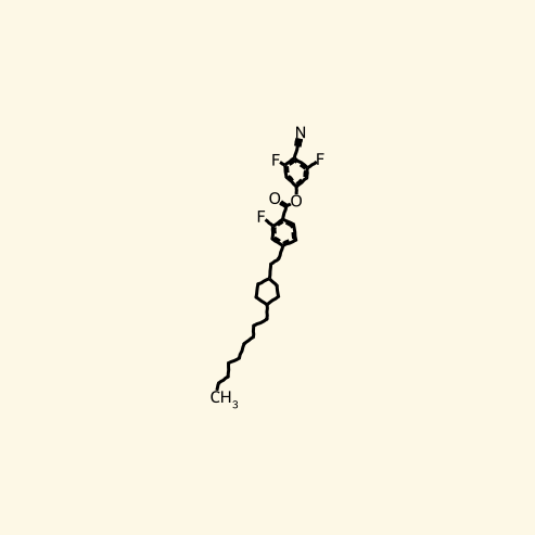 CCCCCCCCCC1CCC(CCc2ccc(C(=O)Oc3cc(F)c(C#N)c(F)c3)c(F)c2)CC1